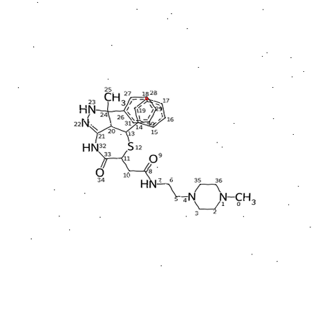 CN1CCN(CCNC(=O)CC2SC(c3ccccc3)C3C(=NNC3(C)c3ccccc3)NC2=O)CC1